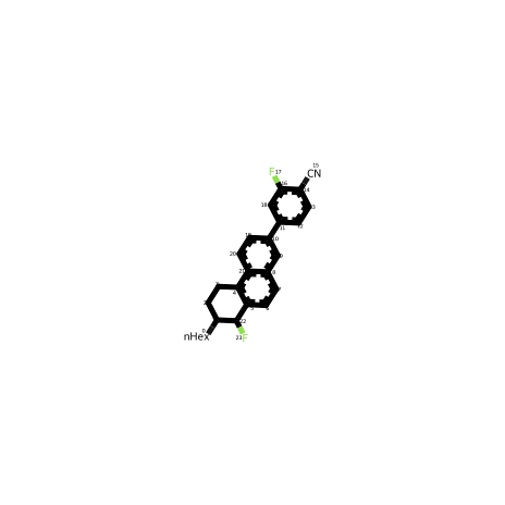 CCCCCCC1CCc2c(ccc3cc(-c4ccc(C#N)c(F)c4)ccc23)C1F